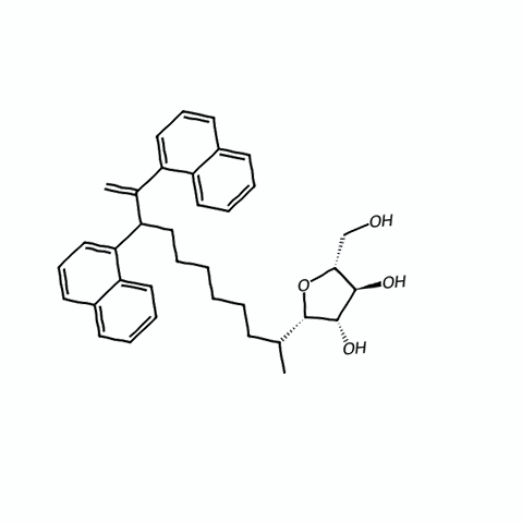 C=C(c1cccc2ccccc12)C(CCCCCCC(C)[C@@H]1O[C@H](CO)[C@@H](O)[C@@H]1O)c1cccc2ccccc12